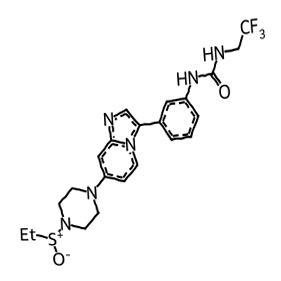 CC[S+]([O-])N1CCN(c2ccn3c(-c4cccc(NC(=O)NCC(F)(F)F)c4)cnc3c2)CC1